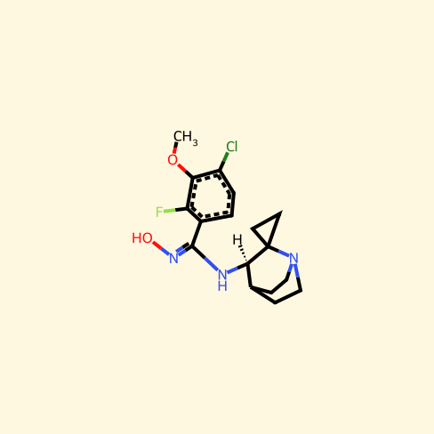 COc1c(Cl)ccc(/C(=N\O)N[C@@H]2C3CCN(CC3)C23CC3)c1F